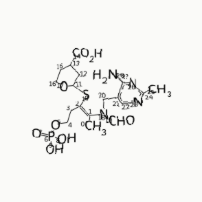 C/C(=C(\CCOP(=O)(O)O)SC1CC(C(=O)O)CCO1)N(C=O)Cc1cnc(C)nc1N